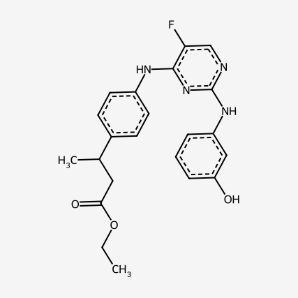 CCOC(=O)CC(C)c1ccc(Nc2nc(Nc3cccc(O)c3)ncc2F)cc1